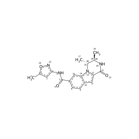 Cc1cc(NC(=O)c2ccc3cc4n(c3c2)[C@H](C)[C@@H](C)NC4=O)no1